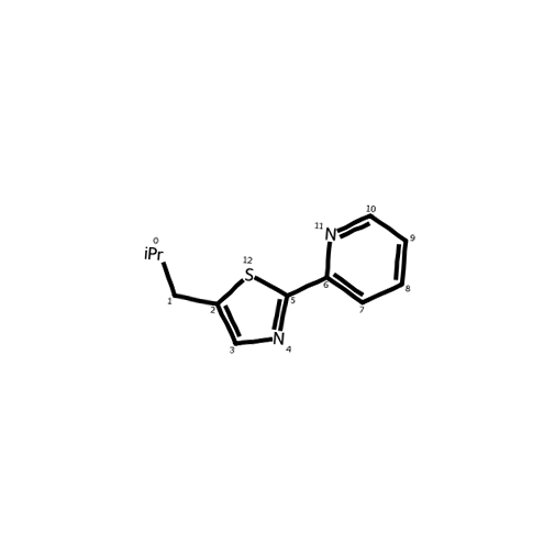 CC(C)Cc1cnc(-c2ccccn2)s1